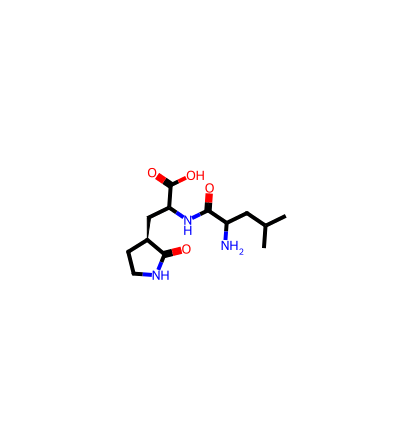 CC(C)CC(N)C(=O)NC(C[C@@H]1CCNC1=O)C(=O)O